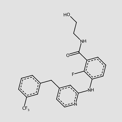 O=C(NCCO)c1cccc(Nc2cc(Cc3cccc(C(F)(F)F)c3)ccn2)c1F